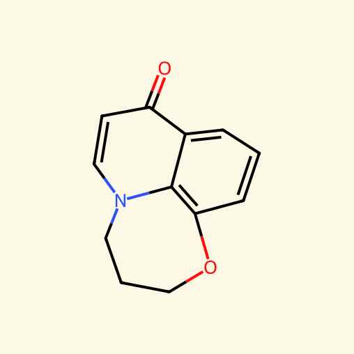 O=c1ccn2c3c(cccc13)OCCC2